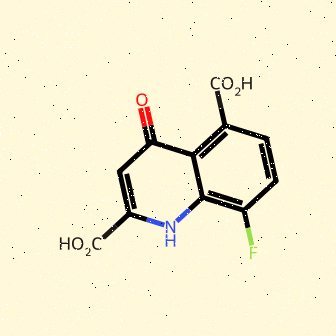 O=C(O)c1cc(=O)c2c(C(=O)O)ccc(F)c2[nH]1